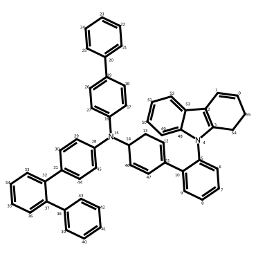 C1=Cc2c(n(-c3ccccc3C3=CCC(N(c4ccc(-c5ccccc5)cc4)c4ccc(-c5ccccc5-c5ccccc5)cc4)C=C3)c3ccccc23)CC1